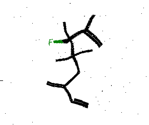 C=CC(=C)CC(C)(C)C(C)(F)C(=C)C